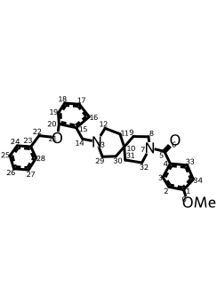 COc1ccc(C(=O)N2CCC3(CCN(Cc4ccccc4OCc4ccccc4)CC3)CC2)cc1